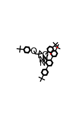 CC(C)(C)c1ccc(OCC2(Cn3nc4c(-c5ccc(C(C)(C)C)cc5)ccc(-c5ccc(C(C)(C)C)cc5)c4n3)CC2Oc2ccc(C(C)(C)C)cc2)cc1